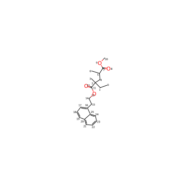 CCC(C)(CC(C)C(=O)OC)C(=O)OCCc1cccc2ccccc12